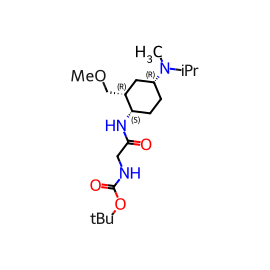 COC[C@@H]1C[C@H](N(C)C(C)C)CC[C@@H]1NC(=O)CNC(=O)OC(C)(C)C